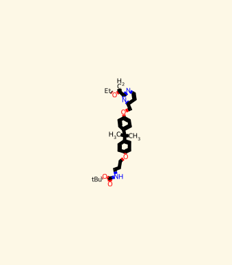 C=C(OCC)c1nccc(COc2ccc(C(C)(C)c3ccc(OCCCNC(=O)OC(C)(C)C)cc3)cc2)n1